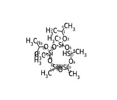 CC(C)O[Si]1(C)O[SiH](C)O[SiH](C)O[SiH](C)O[Si](C)(OC(C)C)O1